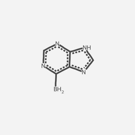 Bc1ncnc2[nH]cnc12